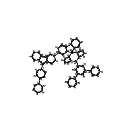 c1ccc(-c2ccc(-n3c4ccccc4c4cc(-c5ccc6c(c5)[Si]5(c7ccccc7-6)c6ccccc6N(c6nc(-c7ccccc7)nc(-c7ccccc7)n6)c6ccccc65)ccc43)cc2)cc1